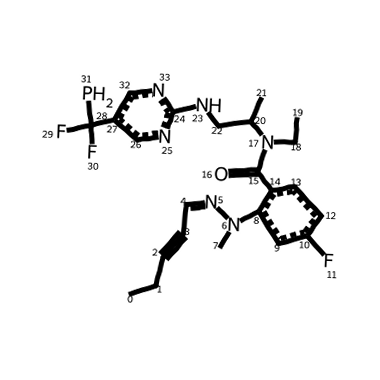 CCC#C/C=N\N(C)c1cc(F)ccc1C(=O)N(CC)C(C)CNc1ncc(C(F)(F)P)cn1